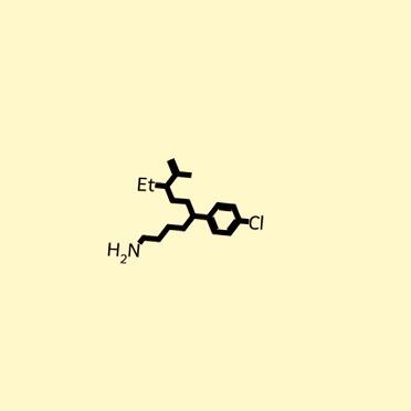 C=C(C)C(CC)CCC(CCCCN)c1ccc(Cl)cc1